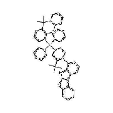 CC(C)(C)c1cc([Si](c2ccccc2)(c2ccccc2)c2cccc3c2Oc2ccccc2C3(C)C)ccc1-c1cccc2c1nc1sc3ccccc3n12